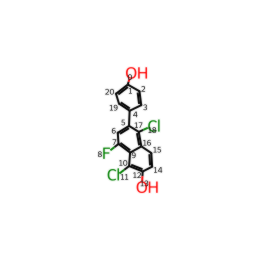 Oc1ccc(-c2cc(F)c3c(Cl)c(O)ccc3c2Cl)cc1